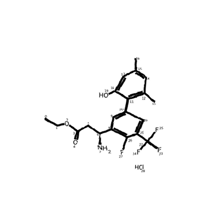 CCOC(=O)C[C@H](N)c1cc(-c2c(C)cc(C)cc2O)cc(C(F)(F)F)c1F.Cl